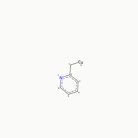 [Cu][CH2]c1ccccn1